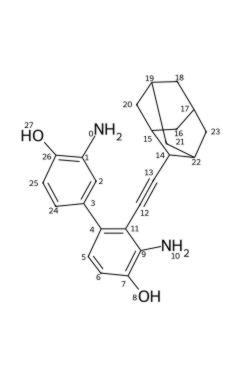 Nc1cc(-c2ccc(O)c(N)c2C#CC2C3CC4CC(C3)CC2C4)ccc1O